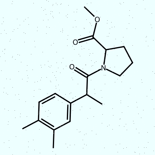 COC(=O)C1CCCN1C(=O)C(C)c1ccc(C)c(C)c1